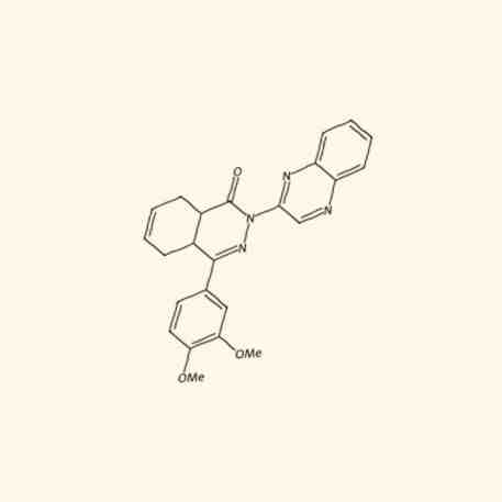 COc1ccc(C2=NN(c3cnc4ccccc4n3)C(=O)C3CC=CCC23)cc1OC